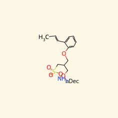 CC=Cc1ccccc1OCC(COCCCCCCCCCC)CS(=O)(=O)ON